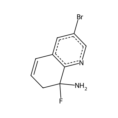 NC1(F)CC=Cc2cc(Br)cnc21